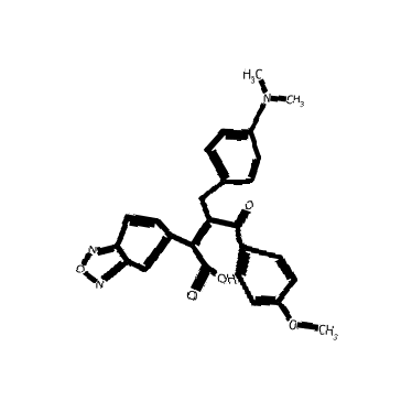 COc1ccc(C(=O)C(Cc2ccc(N(C)C)cc2)=C(C(=O)O)c2ccc3nonc3c2)cc1